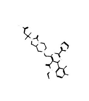 CCOC(=O)C1=C(CN2CCN3C(=S)N(C(C)(C)CC(=O)O)CC3C2)NC(c2nccs2)=NC1c1cccc(F)c1C